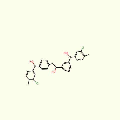 Cc1ccc(B(O)c2ccc(CC(O)c3cccc(B(O)c4ccc(C)c(Cl)c4)c3)cc2)cc1Cl